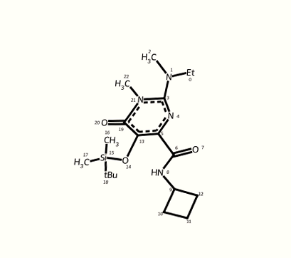 CCN(C)c1nc(C(=O)NC2CCC2)c(O[Si](C)(C)C(C)(C)C)c(=O)n1C